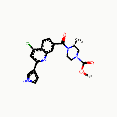 CCCOC(=O)N1CCN(C(=O)c2ccc3c(Cl)cc(-c4cc[nH]c4)nc3c2)[C@@H](C)C1